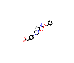 C[C@@H](NC(=O)OCc1ccccc1)C(=O)N1CCN(c2ccc(CC(=O)O)cc2)CC1